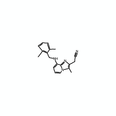 Cc1cccc(C)c1CNc1cccn2c(C)c(CC#N)nc12